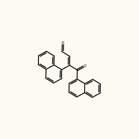 O=[C]C=C(C(=O)c1cccc2ccccc12)c1cccc2ccccc12